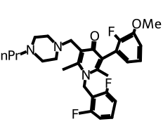 CCCN1CCN(Cc2c(C)n(Cc3c(F)cccc3F)c(C)c(-c3cccc(OC)c3F)c2=O)CC1